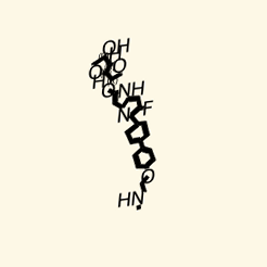 CNCCOc1ccc(-c2ccc(-c3nc4cc(O[C@@H]5CO[C@H]6[C@@H]5OC[C@H]6O)[nH]c4cc3F)cc2)cc1